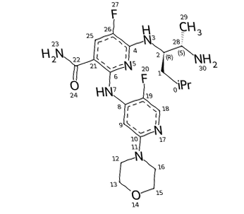 CC(C)C[C@@H](Nc1nc(Nc2cc(N3CCOCC3)ncc2F)c(C(N)=O)cc1F)[C@H](C)N